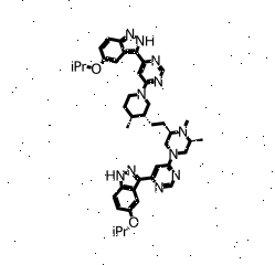 CC(C)Oc1ccc2n[nH]c(-c3cc(N4CC[C@H](C)[C@@H](CC[C@@H]5CN(c6cc(-c7n[nH]c8ccc(OC(C)C)cc78)ncn6)C[C@H](C)N5C)C4)ncn3)c2c1